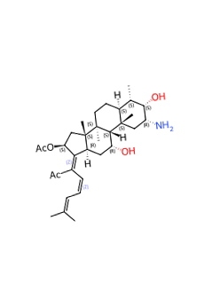 CC(=O)O[C@H]1C[C@@]2(C)[C@@H](C[C@@H](O)[C@H]3[C@@]4(C)C[C@@H](N)[C@@H](O)[C@@H](C)[C@@H]4CC[C@@]32C)/C1=C(\C=C/C=C(C)C)C(C)=O